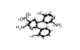 Nc1cc(-c2cc([N+](=O)[O-])c(N)nc2-c2ccccc2F)c(F)cn1